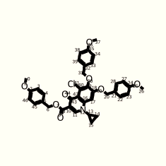 COc1ccc(COC(=O)c2cn(C3CC3)c3cc(OCc4ccc(OC)cc4)c(OCc4ccc(OC)cc4)c(Cl)c3c2=O)cc1